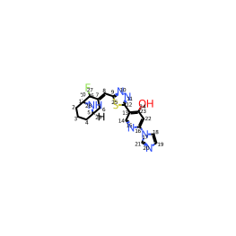 C[C@]12CCC[C@H](C/C(=C\c3nnc(-c4cnc(-n5ccnc5)cc4O)s3)[C@@H]1F)N2